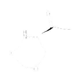 CC(=O)[C@H]1COCCN1